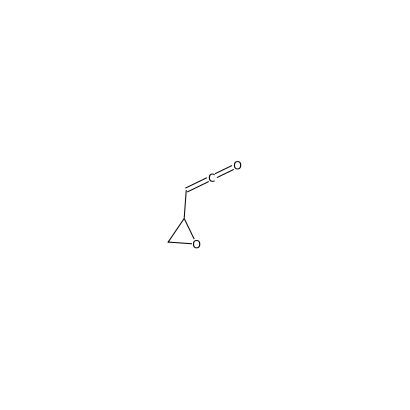 O=C=CC1CO1